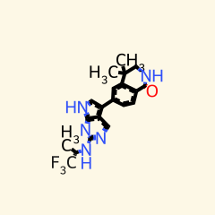 CC(Nc1ncc2c(-c3ccc4c(c3)C(C)(C)CNC4=O)c[nH]c2n1)C(F)(F)F